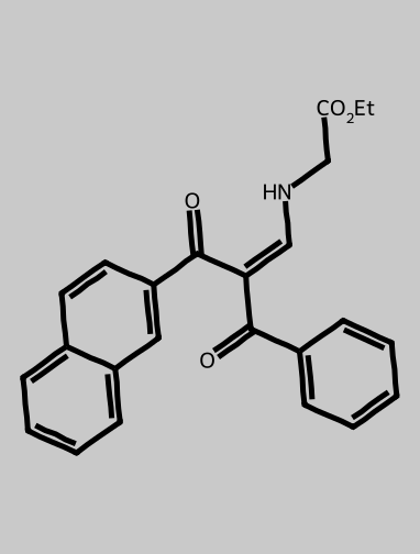 CCOC(=O)CN/C=C(/C(=O)c1ccccc1)C(=O)c1ccc2ccccc2c1